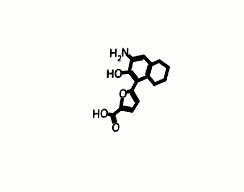 Nc1cc2c(c(-c3ccc(C(=O)O)o3)c1O)CCCC2